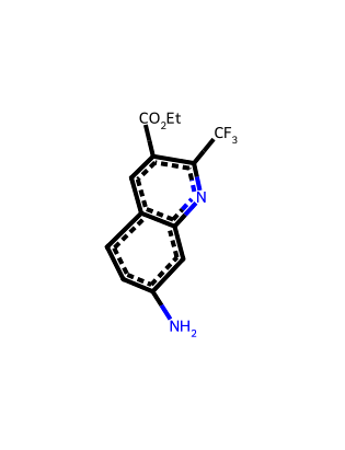 CCOC(=O)c1cc2ccc(N)cc2nc1C(F)(F)F